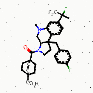 CN1CC2N(C(=O)C34CCC(C(=O)O)(CC3)CC4)CCC2(Cc2ccc(F)cc2)c2ccc(C(C)(F)C(F)(F)F)cc21